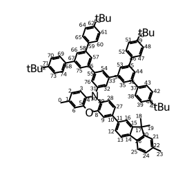 Cc1ccc2c(c1)Oc1cc(-c3ccc4c(c3)C(C)(C)c3cc(C)ccc3-4)ccc1N2c1cc(-c2cc(-c3ccc(C(C)(C)C)cc3)cc(-c3ccc(C(C)(C)C)cc3)c2)cc(-c2cc(-c3ccc(C(C)(C)C)cc3)cc(-c3ccc(C(C)(C)C)cc3)c2)c1